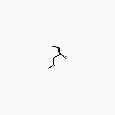 C/C=C(/Cl)COC